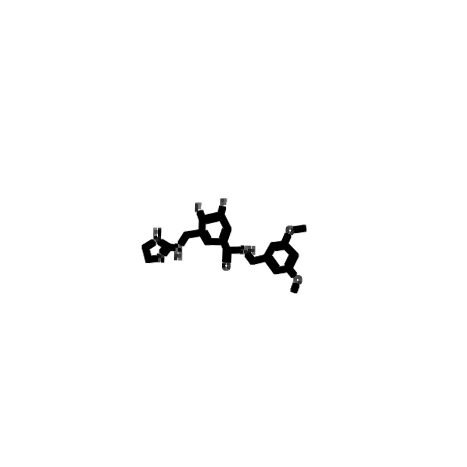 COc1cc(CNC(=O)c2cc(F)c(F)c(CNC3=NCCN3)c2)cc(OC)c1